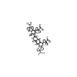 C=C(C)C(=O)Oc1cc(OC(=O)C(=C)C)c2cc3cc(-c4cc(OC(=O)C(=C)C)c(OC(=O)C(=C)C)c(F)c4F)ccc3cc2c1